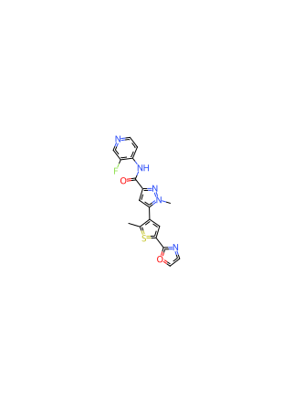 Cc1sc(-c2ncco2)cc1-c1cc(C(=O)Nc2ccncc2F)nn1C